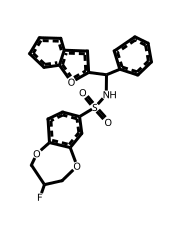 O=S(=O)(NC(c1ccccc1)c1cc2ccccc2o1)c1ccc2c(c1)OCC(F)CO2